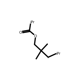 CC(C)[CH]C(C)(C)COC(=O)C(C)C